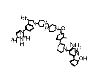 [2H]C1C=CN(c2ccc3c(c2)c(CC)cn3C2CCN(CC3(F)CCN(C(=O)c4ccc(C5CCCN(c6cc(-c7ccccc7O)nnc6N)C5)c(C)c4)CC3)CC2)[C@H]([2H])N1